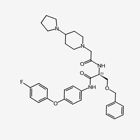 O=C(CN1CCC(N2CCCC2)CC1)N[C@@H](COCc1ccccc1)C(=O)Nc1ccc(Oc2ccc(F)cc2)cc1